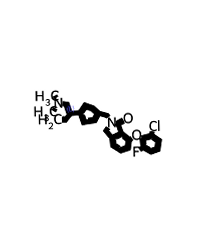 C=C/C(=C\N(C)C)c1ccc(CN2Cc3cccc(Oc4c(F)cccc4Cl)c3C2=O)cc1